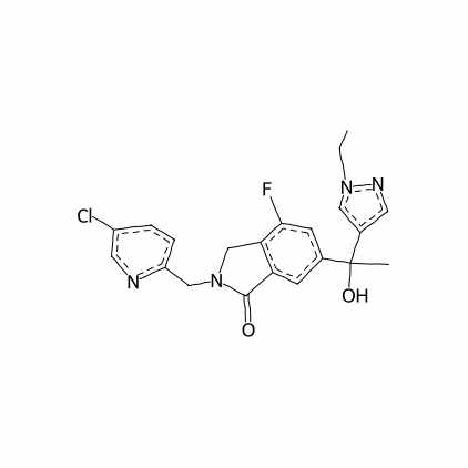 CCn1cc(C(C)(O)c2cc(F)c3c(c2)C(=O)N(Cc2ccc(Cl)cn2)C3)cn1